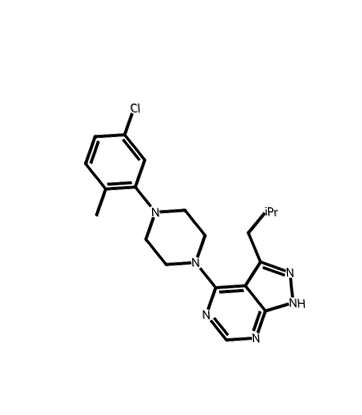 Cc1ccc(Cl)cc1N1CCN(c2ncnc3[nH]nc(CC(C)C)c23)CC1